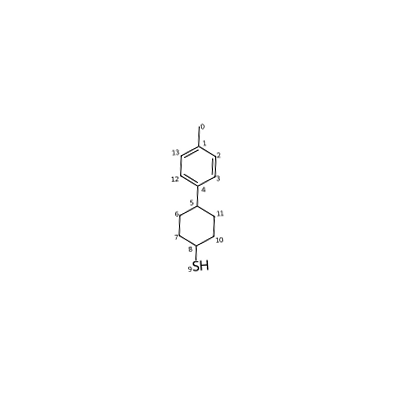 Cc1ccc(C2CCC(S)CC2)cc1